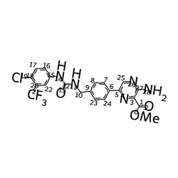 COC(=O)c1nc(-c2ccc(CNC(=O)Nc3ccc(Cl)c(C(F)(F)F)c3)cc2)cnc1N